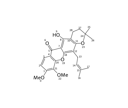 COc1ccc2c(=O)c3c(O)c4c(c(CC=C(C)C)c3oc2c1OC)OC(C)(C)CC4